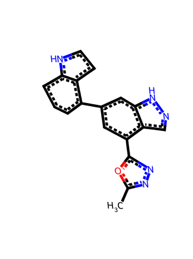 Cc1nnc(-c2cc(-c3cccc4[nH]ccc34)cc3[nH]ncc23)o1